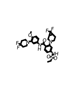 CCS(=O)(=O)Nc1ccc(C(=O)Nc2ccc(OC)c(N3CCC(F)(F)CC3)c2)c(N2CCC3C(C2)C3(F)F)c1